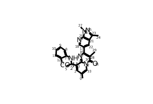 Cc1cc(C(C)Nc2ccccc2C(=O)O)c2nc(-c3cnc4c(c3)c(C)nn4C)c(C)c(=O)n2c1